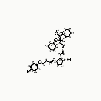 COC(=O)C(CC=C=CC[C@H]1[C@@H](O)CC[C@@H]1/C=C/CCOc1ccc(F)cc1)(OC1CCCCO1)OC1CCCCO1